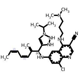 C=C(/C=C\C=C/C)[C@H](Nc1cc(Cl)c2ncc(C#N)c(NCCCN(C)C)c2c1)C1=CN(C(C)C)NN1